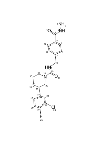 NNC(=O)c1ccc(CNC(=O)N2CCSC(c3ccc(F)c(Cl)c3)C2)cn1